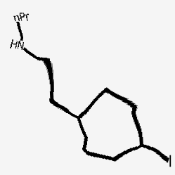 CCCNCCC1CCC(I)CC1